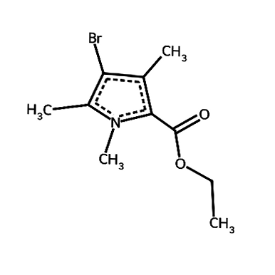 CCOC(=O)c1c(C)c(Br)c(C)n1C